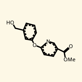 COC(=O)c1ccc(Oc2cccc(CO)c2)nc1